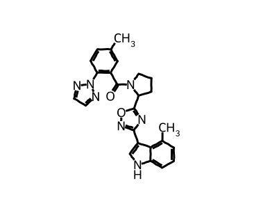 Cc1ccc(-n2nccn2)c(C(=O)N2CCCC2c2nc(-c3c[nH]c4cccc(C)c34)no2)c1